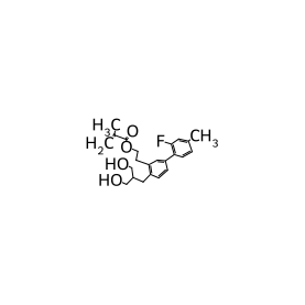 C=C(C)C(=O)OCCc1cc(-c2ccc(C)cc2F)ccc1CC(CO)CO